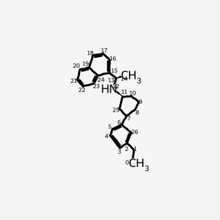 CCc1cccc(C2CCC[C@H](N[C@H](C)c3cccc4ccccc34)C2)c1